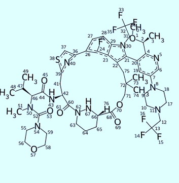 CO[C@@H](C)c1ncc(N2CCN(CC(F)(F)F)CC2)cc1-c1c2c3c(F)c(ccc3n1CC(F)(F)F)-c1csc(n1)C[C@H](NC(=O)[C@H](C(C)C)N(C)C(=O)N1CCOCC1)C(=O)N1CCC[C@H](N1)C(=O)OCC(C)(C)C2